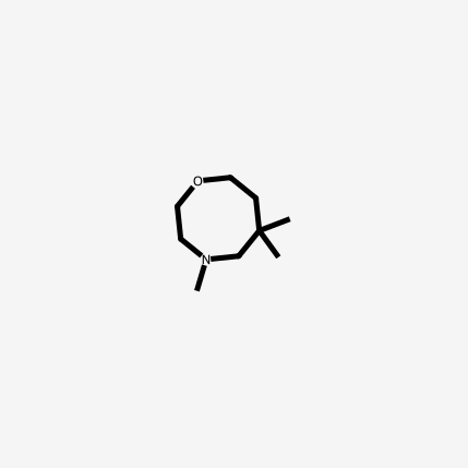 CN1CCOCCC(C)(C)C1